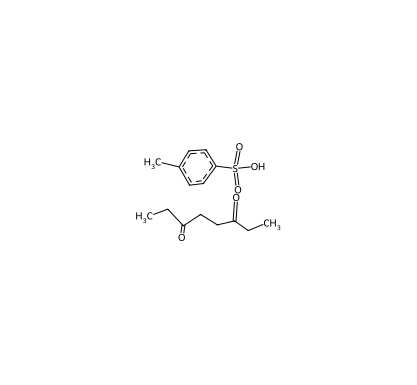 CCC(=O)CCC(=O)CC.Cc1ccc(S(=O)(=O)O)cc1